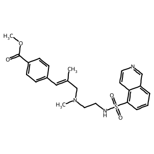 COC(=O)c1ccc(C=C(C)CN(C)CCNS(=O)(=O)c2cccc3cnccc23)cc1